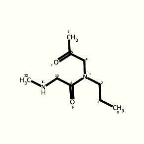 CCCN(CC(C)=O)C(=O)CNC